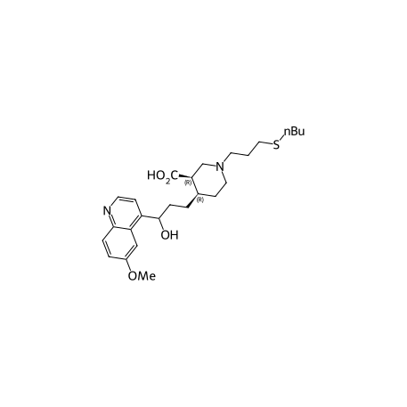 CCCCSCCCN1CC[C@@H](CCC(O)c2ccnc3ccc(OC)cc23)[C@@H](C(=O)O)C1